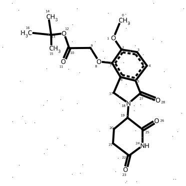 COc1ccc2c(c1OCC(=O)OC(C)(C)C)CN(C1CCC(=O)NC1=O)C2=O